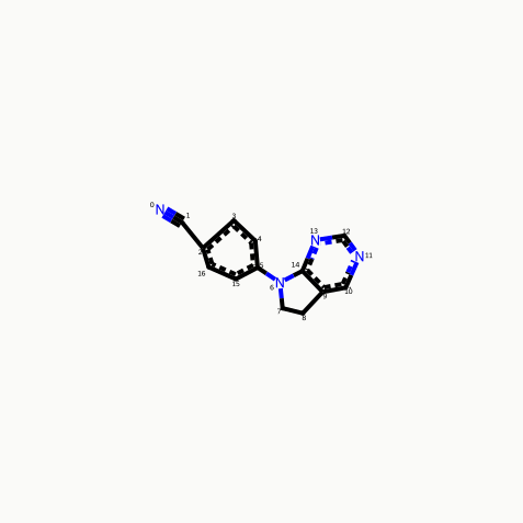 N#Cc1ccc(N2CCc3[c]ncnc32)cc1